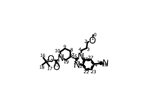 COCCCn1c([C@@H]2CCCN(C(=O)OC(C)(C)C)C2)nc2ccc(C#N)cc21